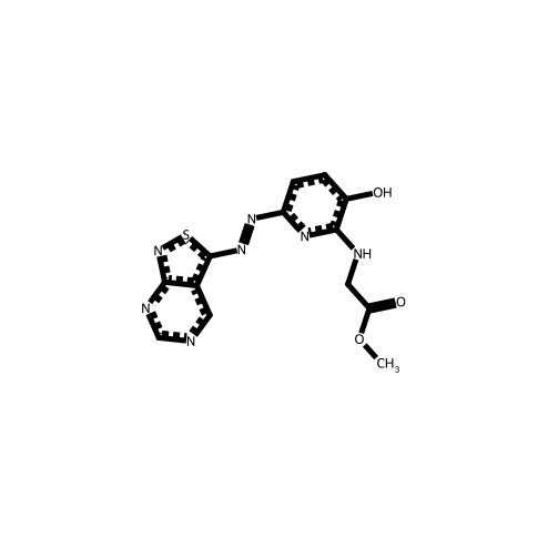 COC(=O)CNc1nc(/N=N/c2snc3ncncc23)ccc1O